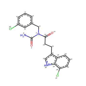 NC(=O)N(Cc1cccc(Cl)c1)C(=O)CCc1c[nH]c2c(Cl)cccc12